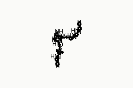 CCCN(CC(=O)C(C)(CC)N(CC(N)=O)Cc1cn(CCCNC(=O)CCCOc2c(C(C)(C)C)cc(-c3nc4cc(N5CCN(C)CC5)ccc4[nH]3)cc2C(C)(C)C)nn1)C(C)(CC)C(=O)CCCOc1cccc(-c2nc3ccc(-c4nc5ccc(N6CCN(C)CC6)cc5[nH]4)cc3[nH]2)c1